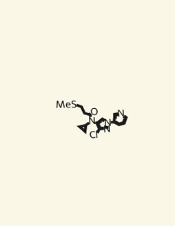 CSCCC(=O)N(c1cn(-c2cccnc2)nc1Cl)C1CC1